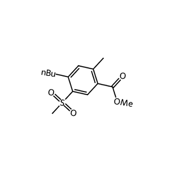 CCCCc1cc(C)c(C(=O)OC)cc1S(C)(=O)=O